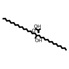 C=C(C)C(=O)O.CCCCCCCCCCCCCCCCC(CO)CCCCCCCCCCCCCC